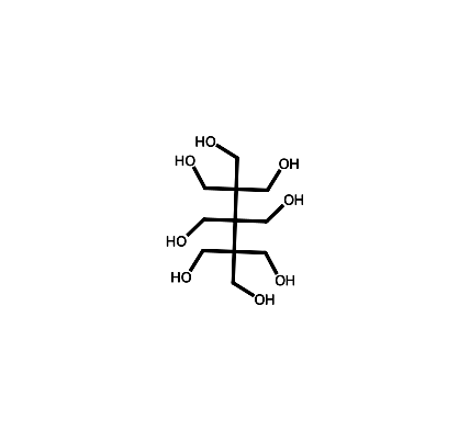 OCC(CO)(CO)C(CO)(CO)C(CO)(CO)CO